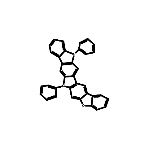 c1ccc(-n2c3ccccc3c3cc4c(cc32)c2cc3c(cc2n4-c2ccccc2)oc2ccccc23)cc1